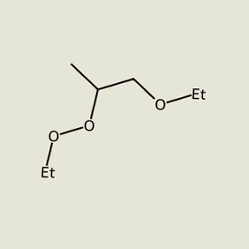 CCOCC(C)OOCC